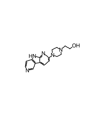 OCCN1CCN(c2ccc3c(n2)[nH]c2ccncc23)CC1